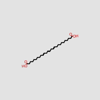 O=C(O)CCCCCCCCC=CCC=CCC=CCCCCCCCCCC(=O)O